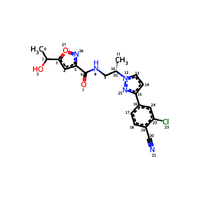 CC(O)c1cc(C(=O)NC[C@H](C)n2ccc(-c3ccc(C#N)c(Cl)c3)n2)no1